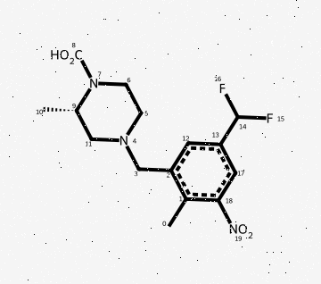 Cc1c(CN2CCN(C(=O)O)[C@@H](C)C2)cc(C(F)F)cc1[N+](=O)[O-]